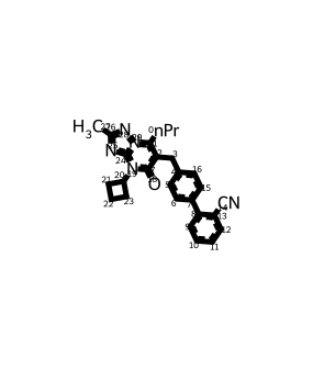 CCCc1c(Cc2ccc(-c3ccccc3C#N)cc2)c(=O)n(C2CCC2)c2nc(C)nn12